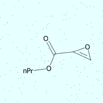 CCCOC(=O)C1=CO1